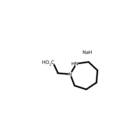 O=C(O)[CH]N1CCCCCN1.[NaH]